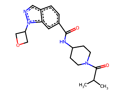 CC(C)C(=O)N1CCC(NC(=O)c2ccc3cnn(C4COC4)c3c2)CC1